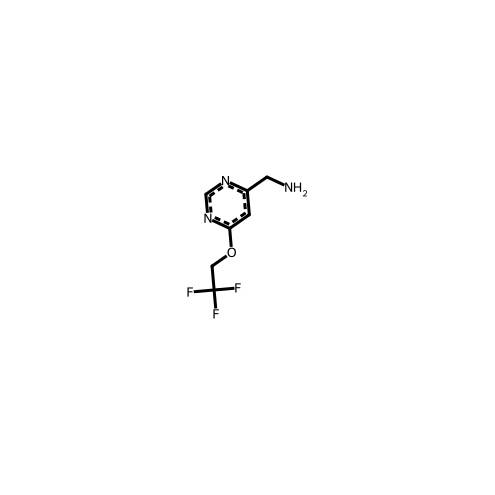 NCc1cc(OCC(F)(F)F)ncn1